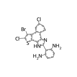 Nc1cccc(N)c1-c1nc2c3ccc(Cl)cc3c3c(Br)c(Cl)sc3c2[nH]1